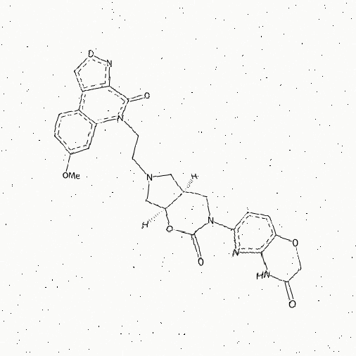 COc1ccc2c3conc3c(=O)n(CCN3C[C@H]4CN(c5ccc6c(n5)NC(=O)CO6)C(=O)O[C@H]4C3)c2c1